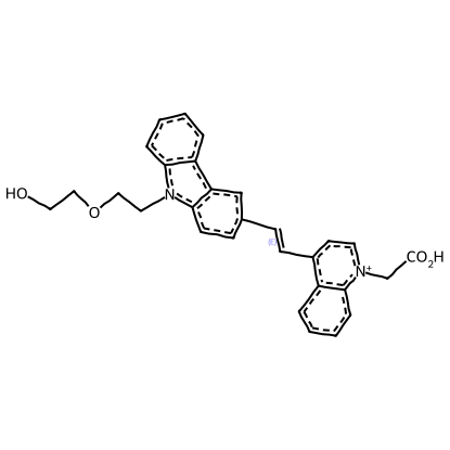 O=C(O)C[n+]1ccc(/C=C/c2ccc3c(c2)c2ccccc2n3CCOCCO)c2ccccc21